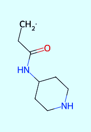 [CH2]CC(=O)NC1CCNCC1